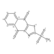 CS(=O)(=O)c1nc2c(s1)C(=O)c1ccccc1C2=O